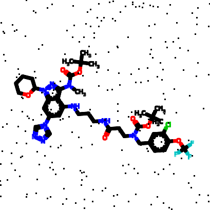 CN(C(=O)OC(C)(C)C)c1nn(C2CCCCO2)c2cc(-n3cnnc3)cc(NCCCNC(=O)CCN(Cc3ccc(OC(F)(F)F)c(Cl)c3)C(=O)OC(C)(C)C)c12